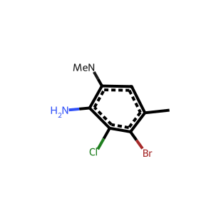 CNc1cc(C)c(Br)c(Cl)c1N